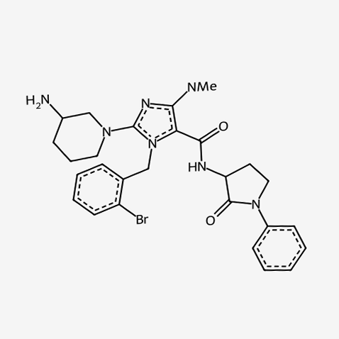 CNc1nc(N2CCCC(N)C2)n(Cc2ccccc2Br)c1C(=O)NC1CCN(c2ccccc2)C1=O